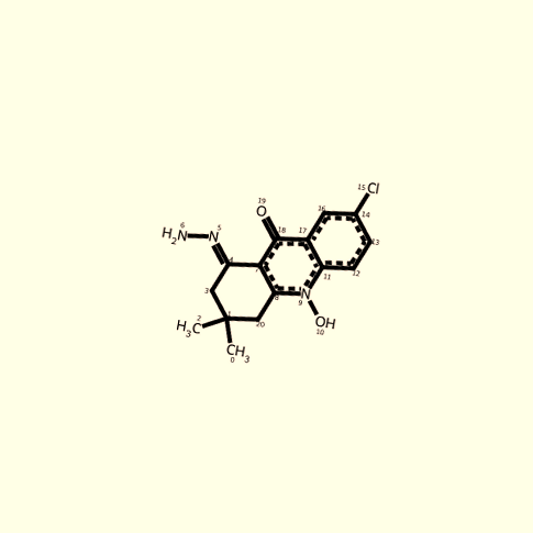 CC1(C)CC(=NN)c2c(n(O)c3ccc(Cl)cc3c2=O)C1